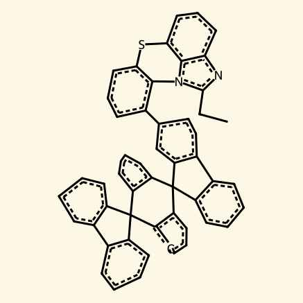 CCc1nc2cccc3c2n1-c1c(cccc1-c1ccc2c(c1)C1(c4ccccc4-2)c2ccccc2C2(c4ccccc4-c4ccccc42)c2ccccc21)S3